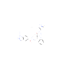 Cc1nc(C)c(N2CN(c3ccccc3)C3(CCN(C(=O)c4ccc5[nH]ncc5c4)CC3)C2=O)s1